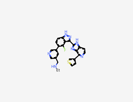 CCNCc1cncc(-c2ccc3[nH]nc(-c4nc5c(-c6ccsc6)nccc5[nH]4)c3c2F)c1